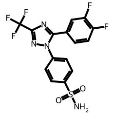 NS(=O)(=O)c1ccc(-n2nc(C(F)(F)F)nc2-c2ccc(F)c(F)c2)cc1